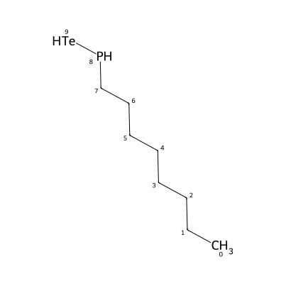 CCCCCCCCP[TeH]